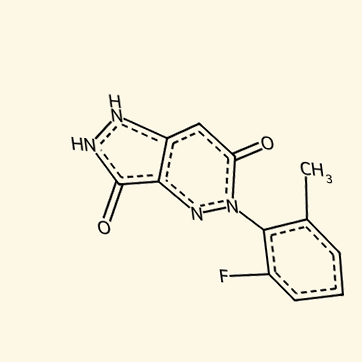 Cc1cccc(F)c1-n1nc2c(=O)[nH][nH]c2cc1=O